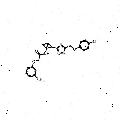 Cc1cccc(OCC(=O)NC23CC2C3c2nc(COc3ccc(Cl)cc3)no2)c1